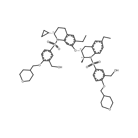 CCc1ccc2c(c1)C[C@@H](Oc1cc3c(cc1CC)CC[C@@H](C1CC1)N3S(=O)(=O)c1ccc(OCC3CCOCC3)c(CO)c1)[C@H](C)N2S(=O)(=O)c1ccc(OCC2CCOCC2)c(CO)c1